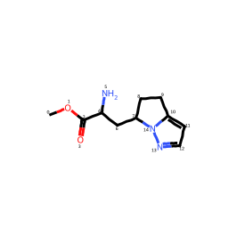 COC(=O)C(N)CC1CCc2ccnn21